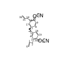 C=CCc1cc(Sc2ccc(OC#N)c(CC=C)c2)ccc1OC#N